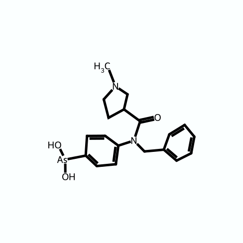 CN1CCC(C(=O)N(Cc2ccccc2)c2ccc([As](O)O)cc2)C1